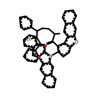 CC[C@H]1C(c2ccccc2)CCC(C)/C(c2c(-n3c4cc5ccccc5cc4c4cc5ccccc5cc43)ccc3oc4cc5ccccc5cc4c23)=N\C1c1ccccc1